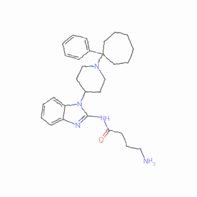 NCCCC(=O)Nc1nc2ccccc2n1C1CCN(C2(c3ccccc3)CCCCCC2)CC1